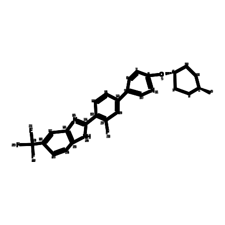 C[C@H]1CC[C@H](Oc2ccc(-c3ccc(-c4nc5cc(C(F)(F)F)ccc5[nH]4)c(F)c3)cn2)CC1